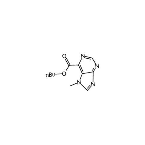 CCCCOC(=O)c1ncnc2ncn(C)c12